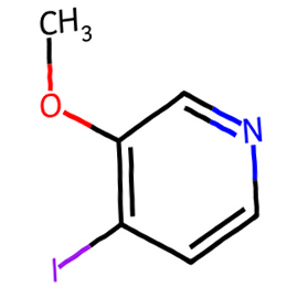 COc1cnccc1I